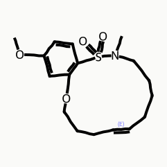 COc1ccc2c(c1)OCCC/C=C/CCCCN(C)S2(=O)=O